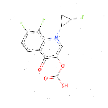 O=C(O)Oc1cn([C@@H]2C[C@@H]2F)c2c(F)c(F)ccc2c1=O